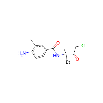 CCC(C)(NC(=O)c1ccc(N)c(C)c1)C(=O)CCl